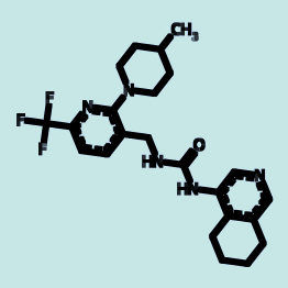 CC1CCN(c2nc(C(F)(F)F)ccc2CNC(=O)Nc2cncc3c2CCCC3)CC1